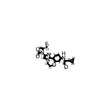 O=C[C@@H](Nc1ccc2c(c1)OCCn1cc(N3C(=O)OC[C@H]3CF)nc1-2)C1CC1